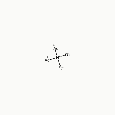 CC(=O)[N+]([O-])(C(C)=O)C(C)=O